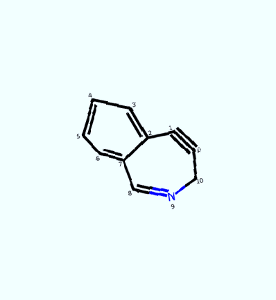 C1#Cc2ccccc2C=NC1